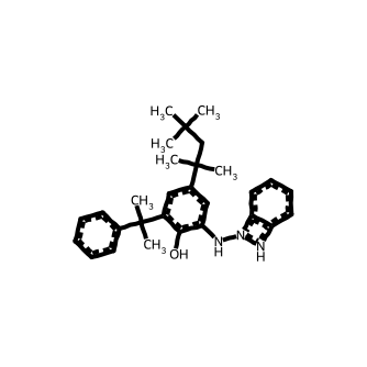 CC(C)(C)CC(C)(C)c1cc(Nn2[nH]c3ccccc32)c(O)c(C(C)(C)c2ccccc2)c1